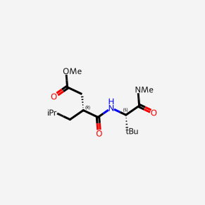 CNC(=O)[C@@H](NC(=O)[C@@H](CC(=O)OC)CC(C)C)C(C)(C)C